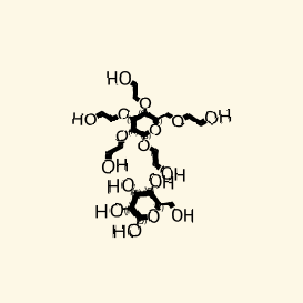 OCCOC[C@H]1O[C@H](OCCO)[C@H](OCCO)[C@@H](OCCO)[C@H]1OCCO.OC[C@H]1O[C@H](O)[C@H](O)[C@@H](O)[C@@H]1O